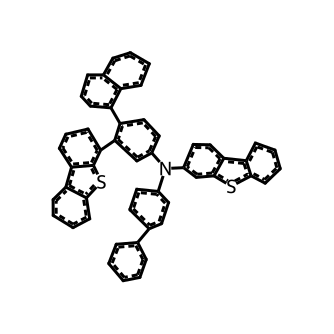 c1ccc(-c2ccc(N(c3ccc(-c4cccc5ccccc45)c(-c4cccc5c4sc4ccccc45)c3)c3ccc4c(c3)sc3ccccc34)cc2)cc1